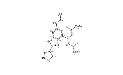 CCSNc1cc(C(/C=C(\C)OC)=C/N(C)C=O)c2oc(C3CCNC3)nc2c1